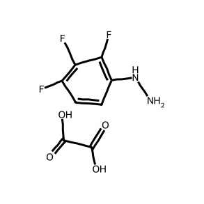 NNc1ccc(F)c(F)c1F.O=C(O)C(=O)O